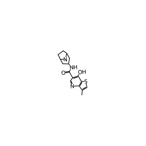 Cc1csc2c(O)c(C(=O)NC3CC4CCC(C3)N4C)cnc12